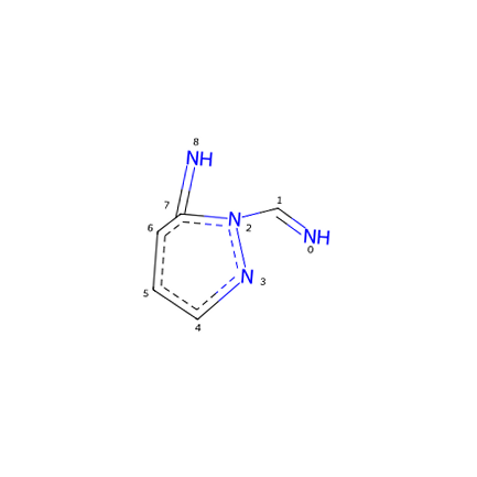 N=Cn1ncccc1=N